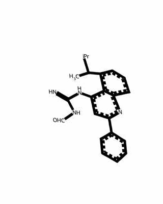 CC(C)C(C)c1cccc2nc(-c3ccccc3)cc(NC(=N)NC=O)c12